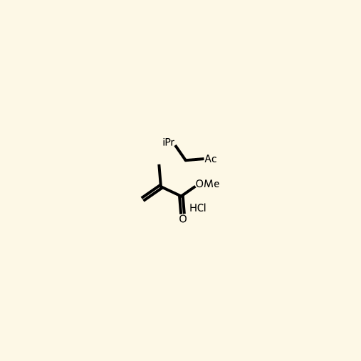 C=C(C)C(=O)OC.CC(=O)CC(C)C.Cl